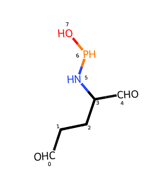 O=CCCC(C=O)NPO